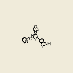 c1ccc(COc2nc(-c3ccc4[nH]cnc4c3)nc(N3CCOCC3)n2)nc1